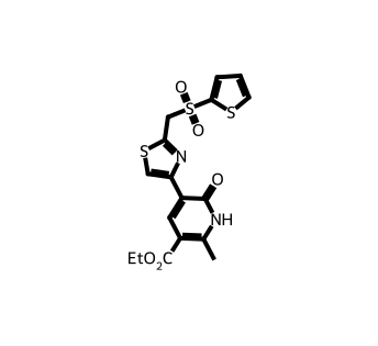 CCOC(=O)c1cc(-c2csc(CS(=O)(=O)c3cccs3)n2)c(=O)[nH]c1C